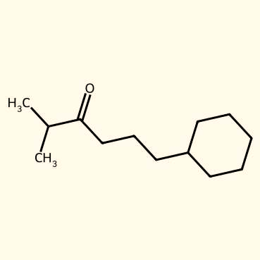 CC(C)C(=O)CCCC1CCCCC1